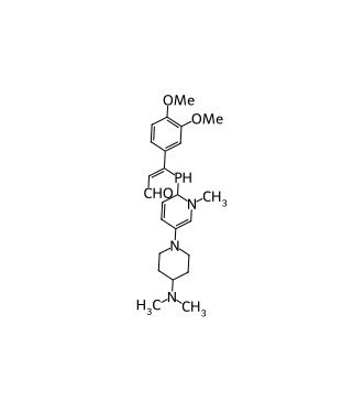 COc1ccc(/C(=C/C=O)PC2C=CC(N3CCC(N(C)C)CC3)=CN2C)cc1OC